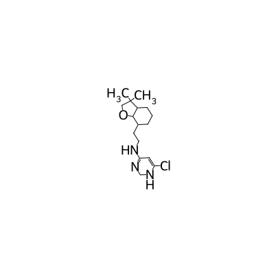 CC1(C)COC2C(CCNC3=NCNC(Cl)=C3)CCCC21